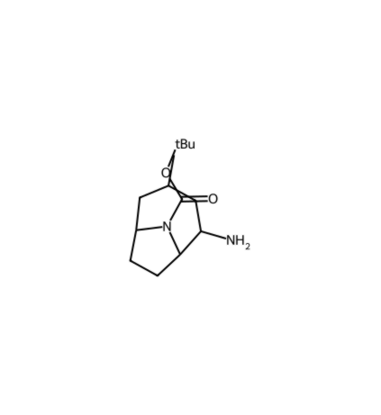 CC1CC(N)C2CCC(C1)N2C(=O)OC(C)(C)C